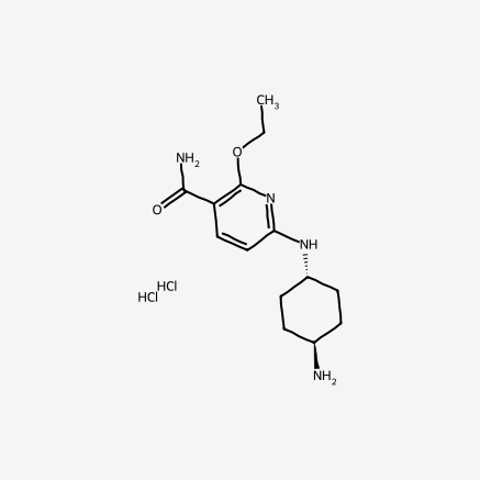 CCOc1nc(N[C@H]2CC[C@H](N)CC2)ccc1C(N)=O.Cl.Cl